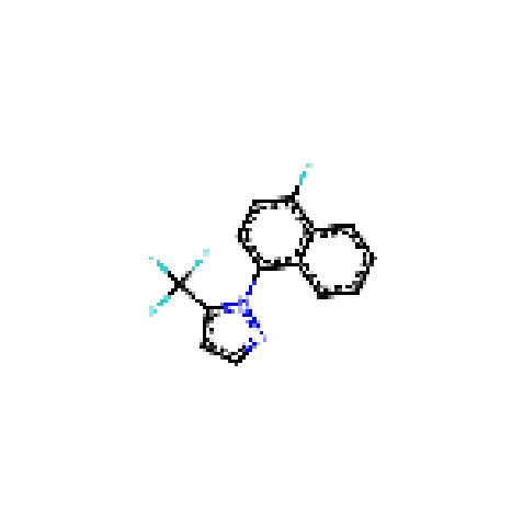 Fc1ccc(-n2nccc2C(F)(F)F)c2ccccc12